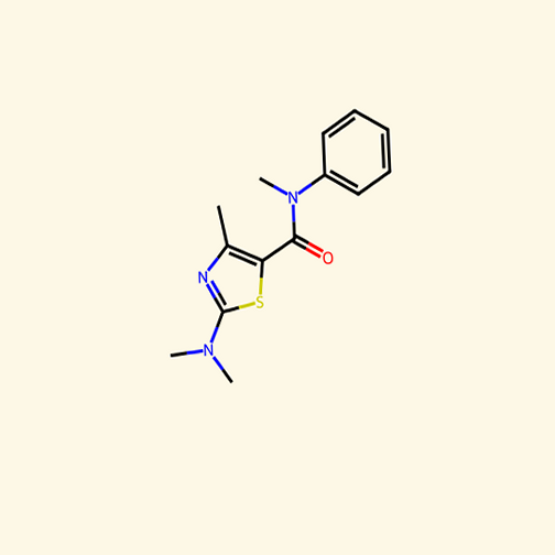 Cc1nc(N(C)C)sc1C(=O)N(C)c1ccccc1